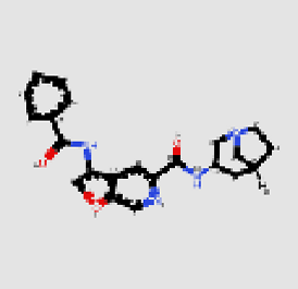 O=C(Nc1coc2cnc(C(=O)N[C@@H]3C[C@H]4CCN(C4)C3)cc12)c1ccccc1